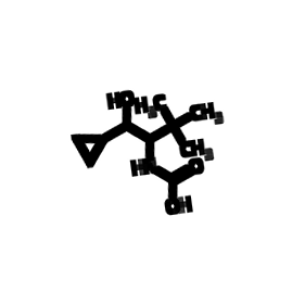 CC(C)(C)C(NC(=O)O)C(O)C1CC1